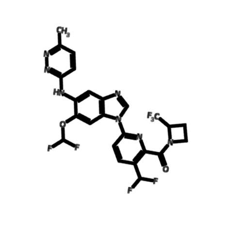 Cc1ccc(Nc2cc3ncn(-c4ccc(C(F)F)c(C(=O)N5CCC5C(F)(F)F)n4)c3cc2OC(F)F)nn1